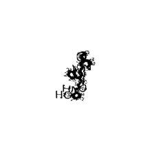 COc1ccnc(-c2nc3c(c(N(C)CC(=O)N[C@@H]4CCC[C@@H]4O)n2)CCC3)c1